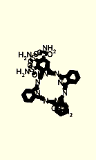 NS(=O)(=O)c1cc2c3nc4nc(nc5c6ccccc6c(nc6nc(nc([nH]3)c2c(S(N)(=O)=O)c1S(N)(=O)=O)-c1ccccc1-6)n5S(N)(=O)=O)-c1ccccc1-4